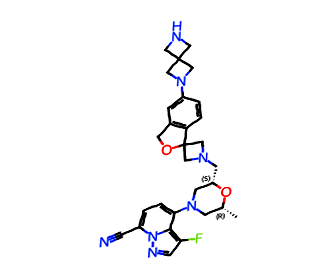 C[C@@H]1CN(c2ccc(C#N)n3ncc(F)c23)C[C@H](CN2CC3(C2)OCc2cc(N4CC5(CNC5)C4)ccc23)O1